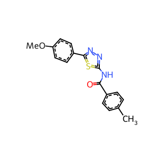 COc1ccc(-c2nnc(NC(=O)c3ccc(C)cc3)s2)cc1